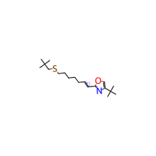 CC(C)(C)CSCCCCC/C=C/c1nc(C(C)(C)C)co1